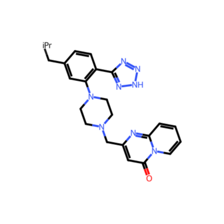 CC(C)Cc1ccc(-c2nn[nH]n2)c(N2CCN(Cc3cc(=O)n4ccccc4n3)CC2)c1